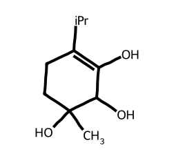 CC(C)C1=C(O)C(O)C(C)(O)CC1